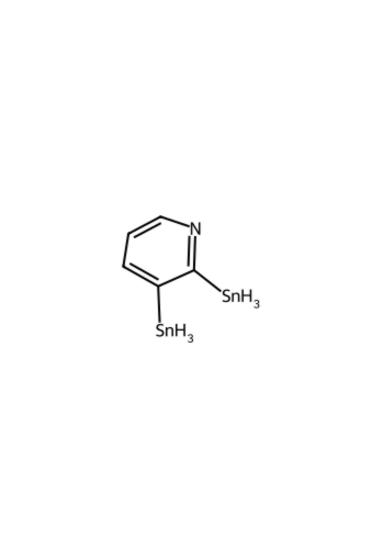 [SnH3][c]1cccn[c]1[SnH3]